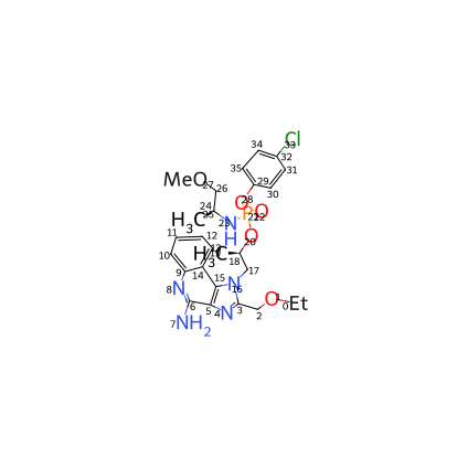 CCOCc1nc2c(N)nc3ccccc3c2n1C[C@@H](C)O[P@@](=O)(N[C@@H](C)COC)Oc1ccc(Cl)cc1